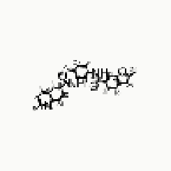 Cc1ccc2cc(C(=O)Nc3cc(NC(=O)c4ccc5c(c4)OC(C)C5)ccc3C)ccc2n1